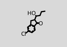 CCCC(O)C1Cc2cc(Cl)ccc2C1=O